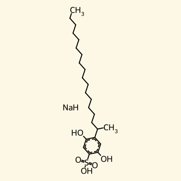 CCCCCCCCCCCCCCCCC(C)c1cc(O)c(S(=O)(=O)O)cc1O.[NaH]